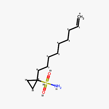 C=CCCCCCCCC1(S(N)(=O)=O)CC1